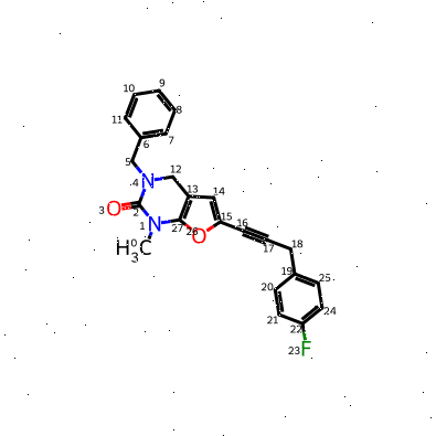 CN1C(=O)N(Cc2ccccc2)Cc2cc(C#CCc3ccc(F)cc3)oc21